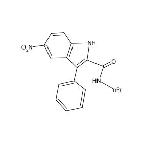 CCCNC(=O)c1[nH]c2ccc([N+](=O)[O-])cc2c1-c1ccccc1